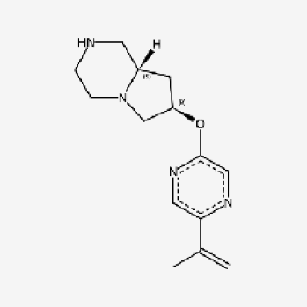 C=C(C)c1cnc(O[C@@H]2C[C@H]3CNCCN3C2)cn1